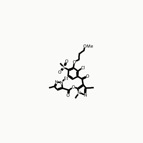 CCn1nc(C)cc1C(=O)Oc1c(C(=O)c2ccc(S(C)(=O)=O)c(OCCCOC)c2Cl)c(C)nn1C